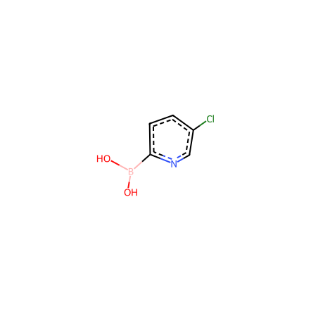 OB(O)c1ccc(Cl)cn1